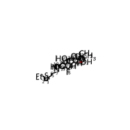 CCc1ccc(/C=C/Cn2ncc3c2C=C2[C@@H](F)C[C@@H]4[C@H]([C@@H](O)C[C@@]5(C)[C@H]4C[C@H]4OC(C)(C)O[C@]45C(=O)CO)[C@@]2(C)C3)s1